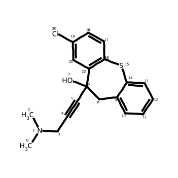 CN(C)CC#CC1(O)Cc2ccccc2Sc2ccc(Cl)cc21